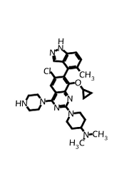 Cc1ccc2[nH]ncc2c1-c1c(Cl)cc2c(N3CCNCC3)nc(N3CCC(N(C)C)CC3)nc2c1OC1CC1